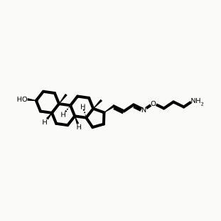 C[C@]12CC[C@H](O)C[C@H]1CC[C@@H]1[C@@H]2CC[C@]2(C)[C@@H](/C=C/C=N/OCCCN)CC[C@@H]12